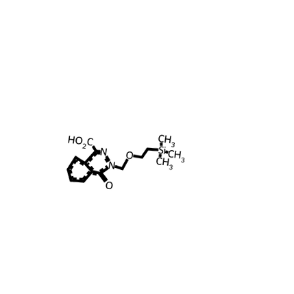 C[Si](C)(C)CCOCn1nc(C(=O)O)c2ccccc2c1=O